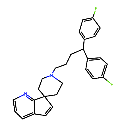 Fc1ccc(C(CCCN2CCC3(C=Cc4cccnc43)CC2)c2ccc(F)cc2)cc1